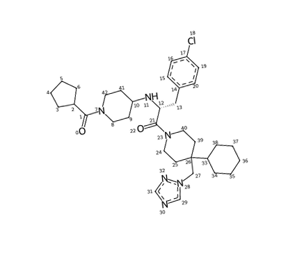 O=C(C1CCCC1)N1CCC(N[C@H](Cc2ccc(Cl)cc2)C(=O)N2CCC(Cn3cncn3)(C3CCCCC3)CC2)CC1